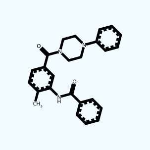 Cc1ccc(C(=O)N2CCN(c3ccccc3)CC2)cc1NC(=O)c1ccccc1